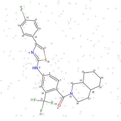 O=C(c1ccc(Nc2nc(-c3ccc(F)cc3)cs2)cc1C(F)(F)F)N1CCC2CCCCC2C1